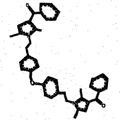 Cc1cc(C(=O)c2ccccc2)c(C)n1CCc1ccc(Oc2ccc(CCn3c(C)cc(C(=O)c4ccccc4)c3C)cc2)cc1